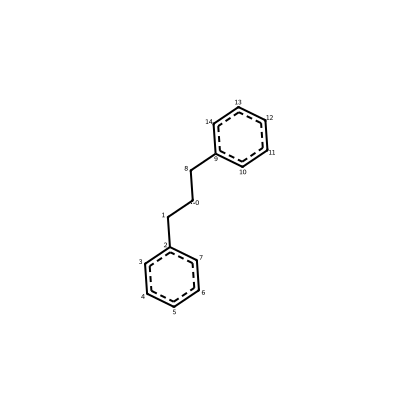 [C](Cc1ccccc1)Cc1ccccc1